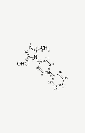 Cc1ncc(C=O)n1-c1ccc(-c2ccccc2)cc1